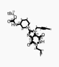 CC#CCn1c(N2CCCC(NC(=O)OC(C)(C)C)C2)nc2c(=O)n(CCF)[nH]c(=O)c21